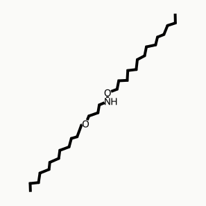 CCCCCCCCCCCCCCONCCCOCCCCCCCCCCCC